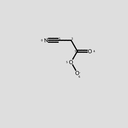 N#CCC(=O)O[O]